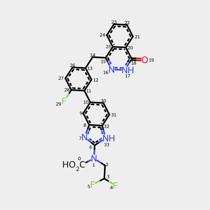 O=C(O)N(CC(F)F)c1nc2cc(-c3cc(Cc4n[nH]c(=O)c5ccccc45)ccc3F)ccc2[nH]1